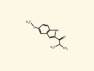 COc1ccc2[nH]c(C(=O)C(C)C)cc2c1